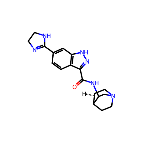 O=C(N[C@H]1CN2CCC1CC2)c1n[nH]c2cc(C3=NCCN3)ccc12